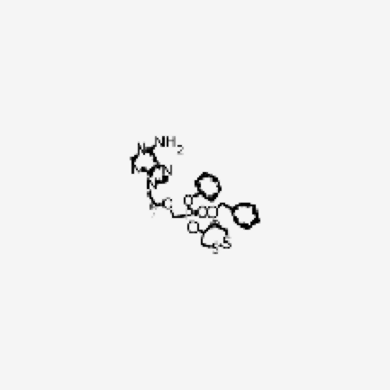 C[C@H](Cn1cnc2c(N)ncnc21)OCP(=O)(Oc1ccccc1)OC1CSSC[C@H]1OCc1ccccc1